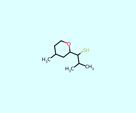 CC1CCOC(C(S)C(C)C)C1